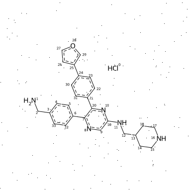 Cl.NCc1ccc(-c2ncc(NCC3CCNCC3)nc2-c2ccc(-c3ccoc3)cc2)cc1